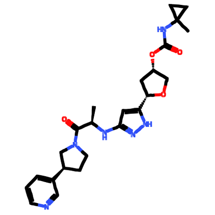 C[C@@H](Nc1cc([C@@H]2C[C@H](OC(=O)NC3(C)CC3)CO2)[nH]n1)C(=O)N1CC[C@@H](c2cccnc2)C1